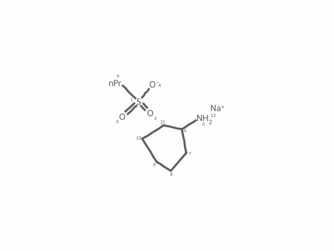 CCCS(=O)(=O)[O-].NC1CCCCC1.[Na+]